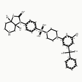 O=C1O[C@H]2CCNC[C@H]2N1c1ccc(S(=O)(=O)N2CCN(c3cc(C(F)(F)c4ccccc4)cc(Cl)n3)CC2)cc1